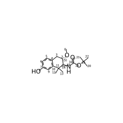 CO[C@H]1Cc2ccc(O)cc2C(C)(C)[C@@H]1NC(=O)OC(C)(C)C